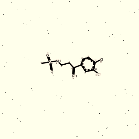 CS(=O)(=O)NCCC(=N)c1ccc(Cl)c(Cl)c1